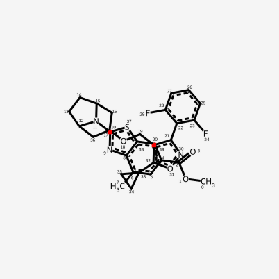 COC(=O)c1cc(C)c2nc(N3C4CCC3CC(OCc3c(-c5c(F)cccc5F)noc3C3CC3)C4)sc2c1